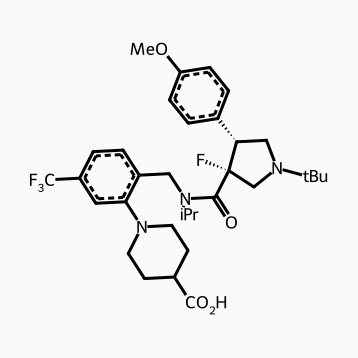 COc1ccc([C@@H]2CN(C(C)(C)C)C[C@@]2(F)C(=O)N(Cc2ccc(C(F)(F)F)cc2N2CCC(C(=O)O)CC2)C(C)C)cc1